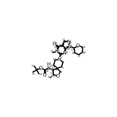 C[C@@H]1OCC2(CCN(c3nc4c(cnn4C4CCCCO4)c(=O)n3C)CC2)[C@@H]1NC(=O)OC(C)(C)C